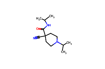 CC(C)NC(=O)C1(C#N)CCN(C(C)C)CC1